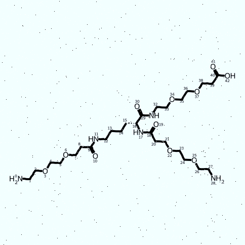 NCCOCCOCCC(=O)NCCCC[C@@H](NC(=O)CCOCCOCCN)C(=O)NCCOCCOCCC(=O)O